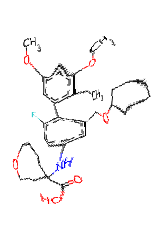 COc1cc(OC)c(C)c(-c2c(F)cc(NC3(C(=O)O)CCOCC3)cc2COC2CCCC2)c1